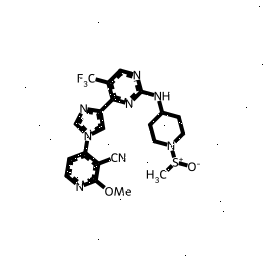 COc1nccc(-n2cnc(-c3nc(NC4CCN([S+](C)[O-])CC4)ncc3C(F)(F)F)c2)c1C#N